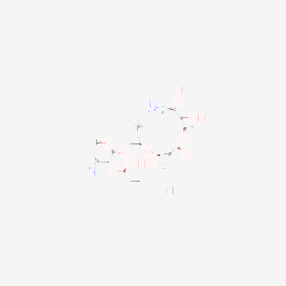 CC[C@H]1OC(=O)[C@H](C)C(O)(CC)OC(C)(CO[C@@H]2O[C@H](C)C[C@H](N(C)C)C2OC(=O)CCC(=O)O)C[C@@H](C)CN(C)[C@H](C)[C@@H](O)[C@]1(C)O